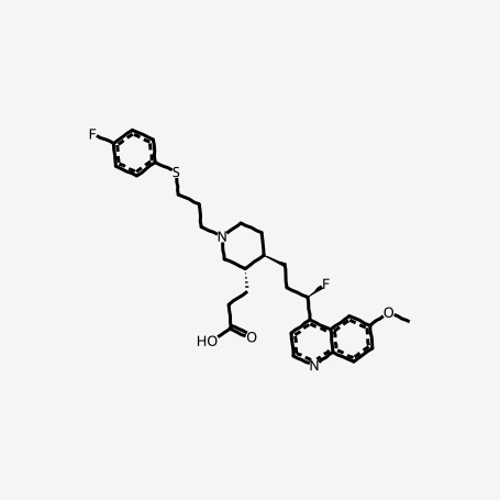 COc1ccc2nccc([C@H](F)CC[C@@H]3CCN(CCCSc4ccc(F)cc4)C[C@H]3CCC(=O)O)c2c1